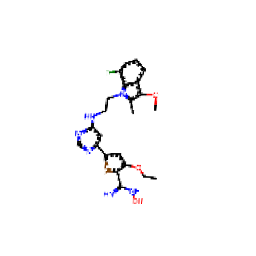 CCOc1cc(-c2cc(NCCn3c(C)c(OC)c4cccc(F)c43)ncn2)sc1C(=N)NO